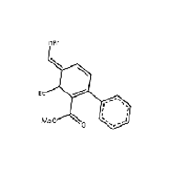 CCCC=C1C=CC(c2ccccc2)=C(C(=O)OC)C1CC